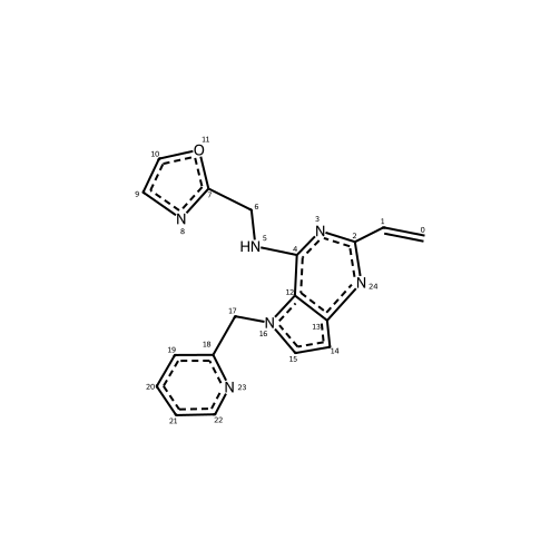 C=Cc1nc(NCc2ncco2)c2c(ccn2Cc2ccccn2)n1